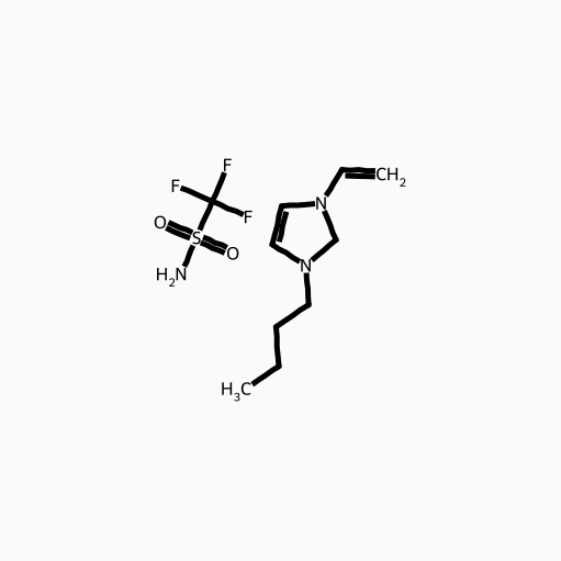 C=CN1C=CN(CCCC)C1.NS(=O)(=O)C(F)(F)F